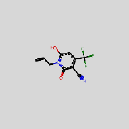 C=CCn1c(O)cc(C(F)(F)F)c(C#N)c1=O